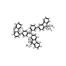 CC1(C)c2ccccc2-c2cc(-c3cccc(N(c4ccc(-c5cccc6sc7ccccc7c56)cc4)c4ccc5c(c4)C(C)(C)c4ccccc4-5)c3)ccc21